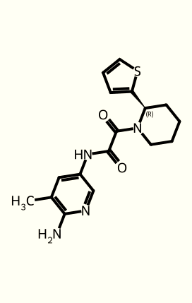 Cc1cc(NC(=O)C(=O)N2CCCC[C@@H]2c2cccs2)cnc1N